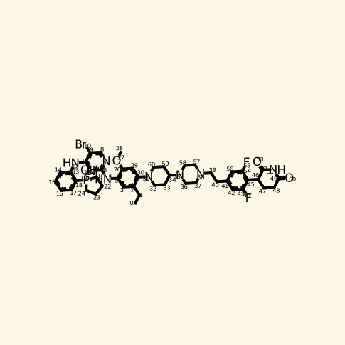 CCc1cc(Nc2ncc(Br)c(Nc3ccccc3[P]3(O)CCCC3)n2)c(OC)cc1N1CCC(N2CCN(CCc3cc(F)c(C4CCC(=O)NC4=O)c(F)c3)CC2)CC1